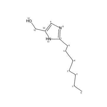 CCCCCCCc1ncc(CO)[nH]1